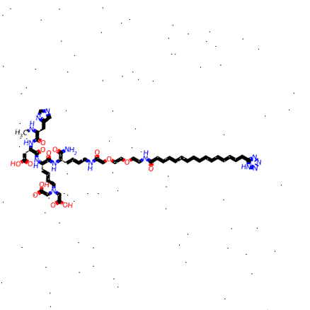 CN[C@@H](CC1=NCN=C1)C(=O)N[C@@H](CC(=O)O)C(=O)N[C@@H](CCCCN(CC(=O)O)CC(=O)O)C(=O)N[C@@H](CCCCNC(=O)COCCOCCNC(=O)CCCCCCCCCCCCCCCc1nnn[nH]1)C(N)=O